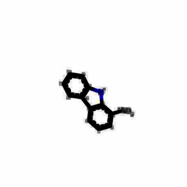 O=[N+]([O-])c1cccc2c1[N]c1ccccc1-2